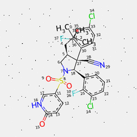 CC(C)(C)C[C@@H]1CN(S(=O)(=O)c2ccc(=O)[nH]c2)[C@H](c2cccc(Cl)c2F)[C@@]1(C#N)c1ccc(Cl)cc1F